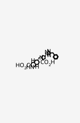 O=C(O)[C@@H]1C[C@H]2C[C@@H](CN3C[C@@H](n4nnc(Cc5ccccc5)n4)C[C@H]3C(=O)O)CC[C@H]2CN1